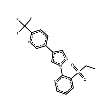 CCS(=O)(=O)c1cccnc1-n1cc(-c2ccc(C(F)(F)F)nc2)cn1